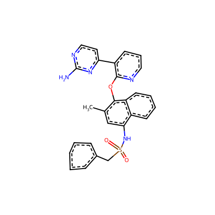 Cc1cc(NS(=O)(=O)Cc2ccccc2)c2ccccc2c1Oc1ncccc1-c1ccnc(N)n1